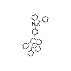 c1ccc(-c2nc(-c3ccc(-c4cc5c(c6ccccc46)C(c4ccccc4)(c4ccccc4)c4ccccc4-5)cc3)nc3ccccc23)cc1